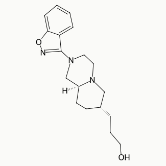 OCCC[C@@H]1CC[C@H]2CN(c3noc4ccccc34)CCN2C1